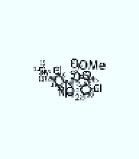 COC(=O)c1sc(Nc2cc(Cl)c(CC[Si](C)(C)C)cc2[N+](=O)[O-])cc1O[C@H](C)c1ccccc1Cl